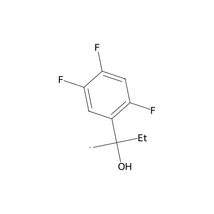 [CH2]C(O)(CC)c1cc(F)c(F)cc1F